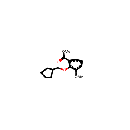 COC(=O)c1cccc(OC)c1OCC1CCCC1